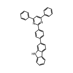 c1ccc(-c2cc(-c3ccccc3)nc(-c3ccc(-c4ccc5c(c4)[nH]c4ccccc45)cc3)n2)cc1